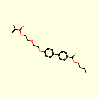 C=C(C)C(=O)OCCOCCOc1ccc(-c2ccc(C(=O)OCCCC)cc2)cc1